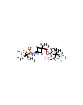 CC1(CO[Si](C)(C)C(C)(C)C)CC(=N[S@@+]([O-])C(C)(C)C)C1